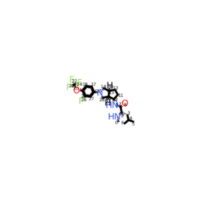 CN[C@@H](CC(C)C)C(=O)N[C@H]1CC[C@@H]2CN(c3ccc(OC(F)(F)F)c(F)c3)C[C@@H]21